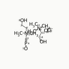 C[N+](C)(C#P=O)CCO.C[N+](C)(C)CCO.[Cl-].[Cl-]